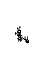 CCOc1ccc(-n2c(C)c3c(C)nnc(NCCN4CCCC4)c3c2C)c(OC)c1